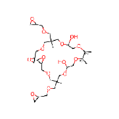 C[C@H](OCC(O)OCC(C)(COCC1CO1)COCC1CO1)[C@@H](C)OCC(O)OCC(C)(COCC1CO1)COCC1CO1